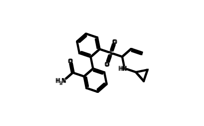 C=CC(NC1CC1)S(=O)(=O)c1ccccc1-c1ccccc1C(N)=O